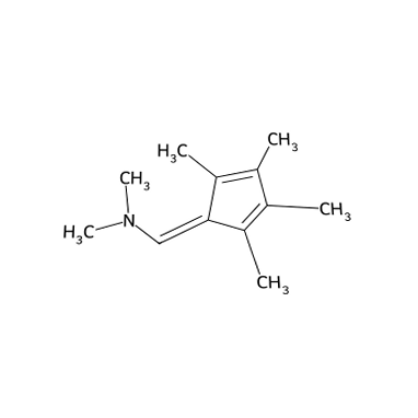 CC1=C(C)C(C)=C(C)C1=CN(C)C